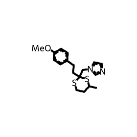 COc1ccc(CCC2(Cn3ccnc3)SCCC(C)S2)cc1